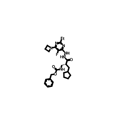 CCc1nc(NNC(=O)[C@@H](CNC(=O)OCc2ccccc2)CC2CCCC2)c(F)c(N2CCC2)n1